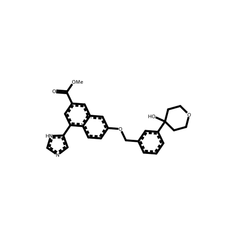 COC(=O)c1cc(-c2cnc[nH]2)c2ccc(OCc3cccc(C4(O)CCOCC4)c3)cc2c1